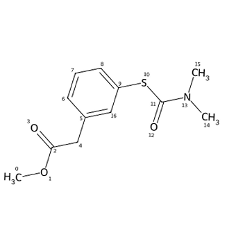 COC(=O)Cc1cccc(SC(=O)N(C)C)c1